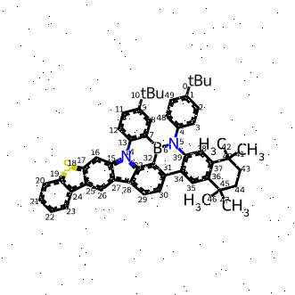 CC(C)(C)c1ccc(N2B3c4cc(C(C)(C)C)ccc4-n4c5cc6sc7ccccc7c6cc5c5ccc(c3c54)-c3cc4c(cc32)C(C)(C)CCC4(C)C)cc1